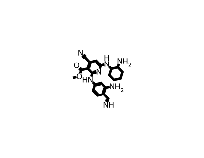 COC(=O)c1c(C#N)cc(NC2CCCCC2N)nc1Nc1ccc(C=N)c(N)c1